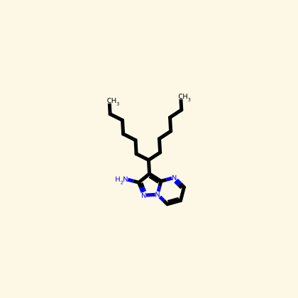 CCCCCCC(CCCCCC)c1c(N)nn2cccnc12